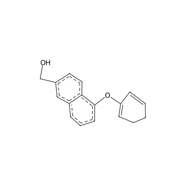 OCc1ccc2c(OC3=CCCC=C3)cccc2c1